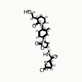 Cc1cc(N2C[C@H](CNC(=O)c3ccc(Cl)s3)OC2=O)ccc1N1CCCC(CCO)C1=O